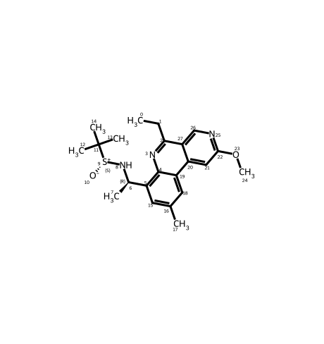 CCc1nc2c([C@@H](C)N[S@+]([O-])C(C)(C)C)cc(C)cc2c2cc(OC)ncc12